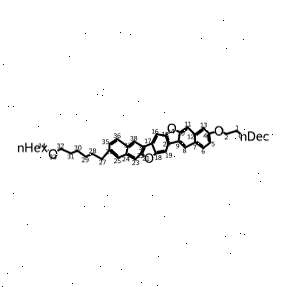 CCCCCCCCCCCCOc1ccc2cc3c(cc2c1)oc1cc2c(cc13)oc1cc3cc(CCCCCCOCCCCCC)ccc3cc12